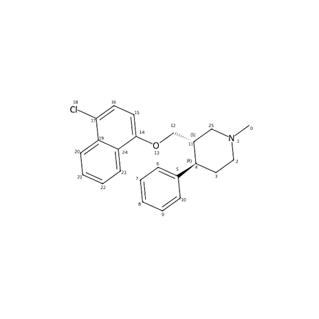 CN1CC[C@@H](c2ccccc2)[C@H](COc2ccc(Cl)c3ccccc23)C1